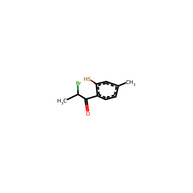 Cc1ccc(C(=O)C(C)Br)c(S)c1